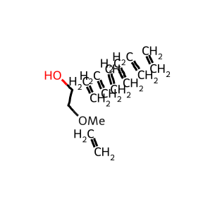 C=C.C=C.C=C.C=C.C=C.C=C.C=C.COCCO